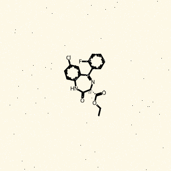 CCOC(=O)[C@H]1N=C(c2ccccc2F)c2cc(Cl)ccc2NC1=O